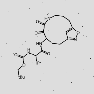 CC(C)C(NC(=O)OCC(C)(C)C)C(=O)NC1CCc2cc(on2)CCCNC(=O)C1=O